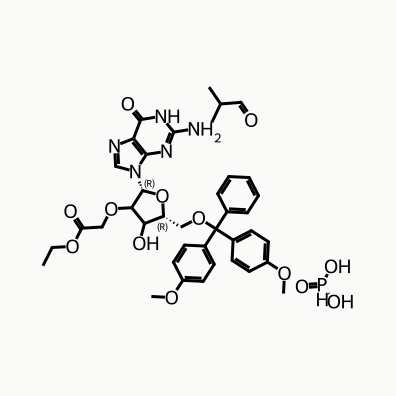 CC(C)C=O.CCOC(=O)COC1C(O)[C@@H](COC(c2ccccc2)(c2ccc(OC)cc2)c2ccc(OC)cc2)O[C@H]1n1cnc2c(=O)[nH]c(N)nc21.O=[PH](O)O